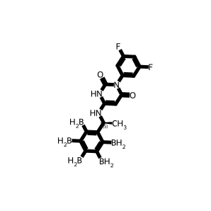 Bc1c(B)c(B)c([C@H](C)Nc2cc(=O)n(-c3cc(F)cc(F)c3)c(=O)[nH]2)c(B)c1B